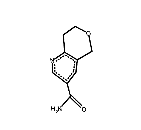 NC(=O)c1cnc2c(c1)COCC2